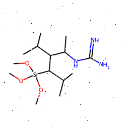 CO[Si](OC)(OC)C(C(C)C)C(C(C)C)C(C)NC(=N)N